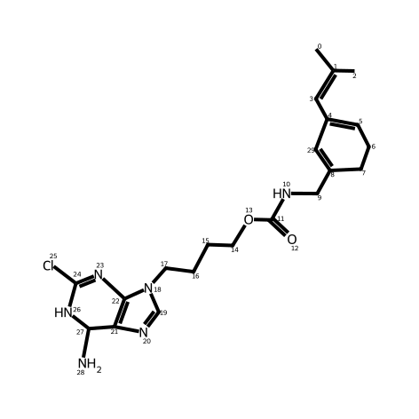 CC(C)=CC1=CCCC(CNC(=O)OCCCCn2cnc3c2N=C(Cl)NC3N)=C1